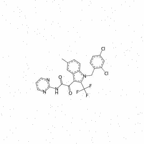 Cc1ccc2c(c1)c(C(=O)C(=O)Nc1ncccn1)c(C(F)(F)F)n2Cc1ccc(Cl)cc1Cl